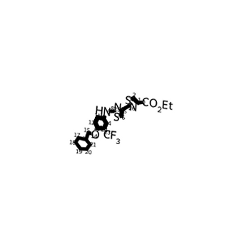 CCOC(=O)c1csc(-c2csc(Nc3ccc(OCC4CCCCC4)c(C(F)(F)F)c3)n2)n1